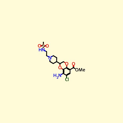 COC(=O)c1cc(Cl)c(N)c2c1OCC(C1CCN(CCNS(C)(=O)=O)CC1)O2